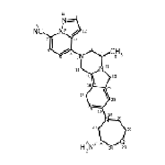 C[C@@H]1CN(c2ccc(C#N)n3nccc23)CC2=C3CC=C(N4CCOC[C@H](N)C4)C=C3CN21